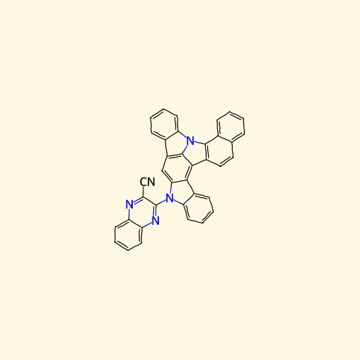 N#Cc1nc2ccccc2nc1-n1c2ccccc2c2c3c4ccc5ccccc5c4n4c5ccccc5c(cc21)c34